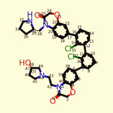 O=C1COc2cc(-c3cccc(-c4cccc(-c5ccc6c(c5)OCC(=O)N6C[C@@H]5CCCN5)c4Cl)c3Cl)ccc2N1CCN1CC[C@H](O)C1